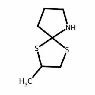 CC1CSC2(CCCN2)S1